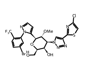 CO[C@@H]1[C@@H](n2cc(-c3nc(Cl)cs3)nn2)[C@@H](O)[C@@H](CO)O[C@H]1c1ccnn1-c1cc(Br)ccc1C(F)(F)F